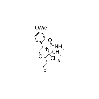 COc1ccc(C2COC(CCF)C(C)(C)N2C(N)=O)cc1